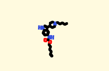 C=CCCCCOC(=O)Nc1ccc2[nH]cc(C3CCN(CCCCC)CC3)c2c1